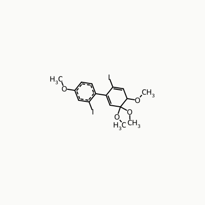 COc1ccc(C2=CC(OC)(OC)C(OC)C=C2I)c(I)c1